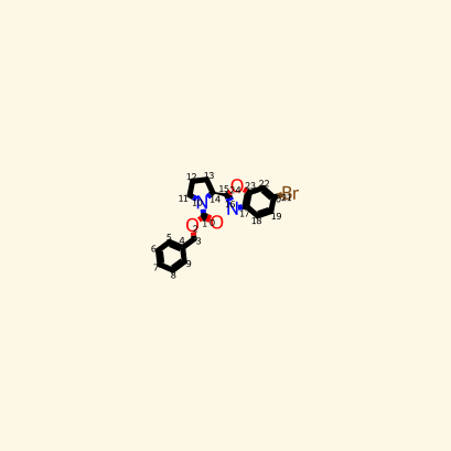 O=C(OCc1ccccc1)N1CCC[C@H]1c1nc2ccc(Br)cc2o1